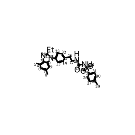 CCc1nc2c(C)cc(C)cc2n1-c1ccc(CCNC(=O)NS(=O)(=O)c2ccc(C)cc2)cc1